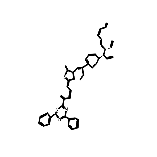 C=C/C=C\C=C\[C@H](C=C)[C@@H](C=C)C1C=CC=C(/C(=C/C2C/C(=C\C=C/C(=C)c3nc(-c4ccccc4)nc(-c4ccccc4)n3)SC2C)CC)CC1